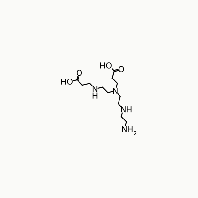 NCCNCCN(CCNCCC(=O)O)CCC(=O)O